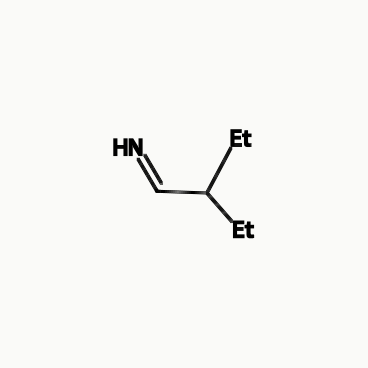 CCC(C=N)CC